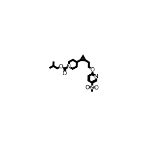 CC(C)COC(=O)N1CCC(C2CC2CCOc2ccc(S(C)(=O)=O)cn2)CC1